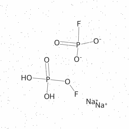 O=P(O)(O)OF.O=P([O-])([O-])F.[Na+].[Na+]